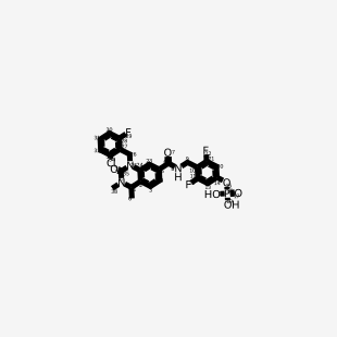 CC1c2ccc(C(=O)NCc3c(F)cc(OP(=O)(O)O)cc3F)cc2N(Cc2c(F)cccc2Cl)C(=O)N1C